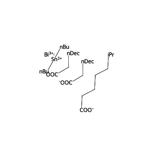 CC(C)CCCCC(=O)[O-].CCCCCCCCCCCC(=O)[O-].CCCCCCCCCCCC(=O)[O-].CCC[CH2][Sn+2][CH2]CCC.[Bi+3]